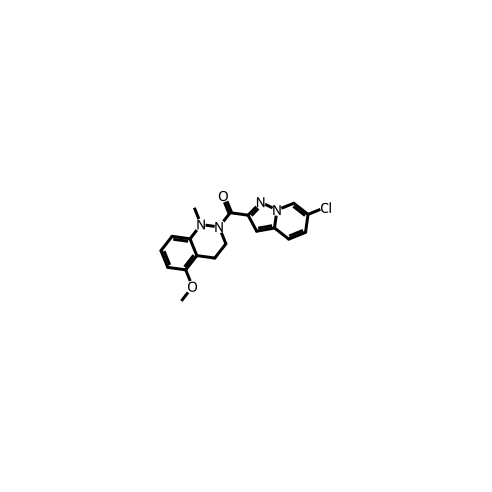 COc1cccc2c1CCN(C(=O)c1cc3ccc(Cl)cn3n1)N2C